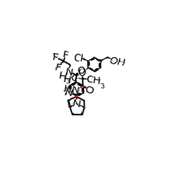 CC(C)(Oc1ccc(CO)cc1Cl)C(=O)NC1CC2CCC(C1)N2c1ccc(C(=O)NCC(F)(F)F)cn1